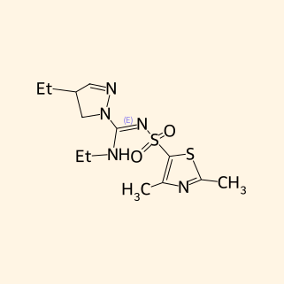 CCN/C(=N\S(=O)(=O)c1sc(C)nc1C)N1CC(CC)C=N1